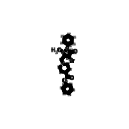 Cn1c(CN2CCC(C(=O)Oc3ccccc3)CC2)c(Br)c(=O)n1-c1ccccc1